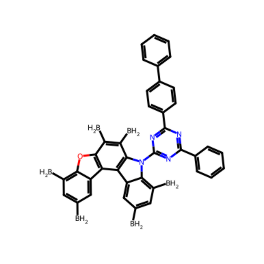 Bc1cc(B)c2oc3c(B)c(B)c4c(c5cc(B)cc(B)c5n4-c4nc(-c5ccccc5)nc(-c5ccc(-c6ccccc6)cc5)n4)c3c2c1